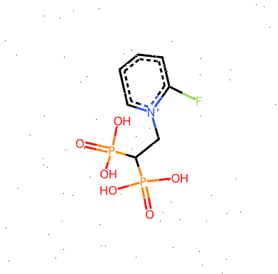 O=P(O)(O)C(C[n+]1ccccc1F)P(=O)(O)O